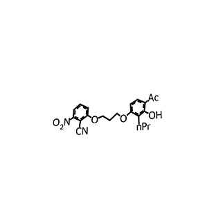 CCCc1c(OCCCOc2cccc([N+](=O)[O-])c2C#N)ccc(C(C)=O)c1O